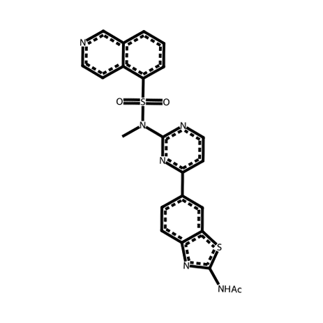 CC(=O)Nc1nc2ccc(-c3ccnc(N(C)S(=O)(=O)c4cccc5cnccc45)n3)cc2s1